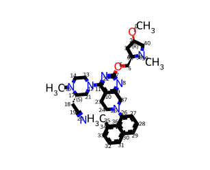 CO[C@@H]1C[C@H](COc2nc3c(c(N4CCN(C)[C@@H](CC#N)C4)n2)CCN(c2cccc4cccc(C)c24)C3)N(C)C1